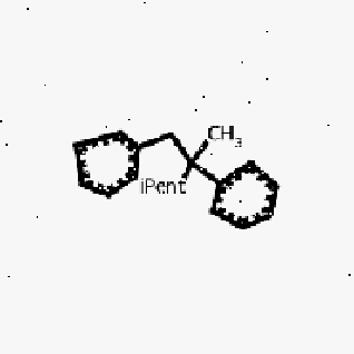 [CH2]C(CCC)C(C)(Cc1ccccc1)c1ccccc1